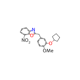 COc1ccc(Cc2nc3cccc([N+](=O)[O-])c3o2)cc1OC1CCCC1